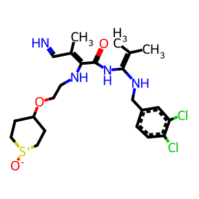 CC(C)=C(NCc1ccc(Cl)c(Cl)c1)NC(=O)/C(NCCOC1CC[S+]([O-])CC1)=C(\C)C=N